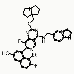 CCc1c(F)ccc2cc(O)cc(-c3ncc4c(NCc5ccc6nccn6c5)nc(OCC56CCCN5CCC6)nc4c3F)c12